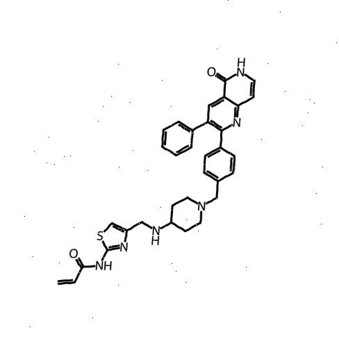 C=CC(=O)Nc1nc(CNC2CCN(Cc3ccc(-c4nc5cc[nH]c(=O)c5cc4-c4ccccc4)cc3)CC2)cs1